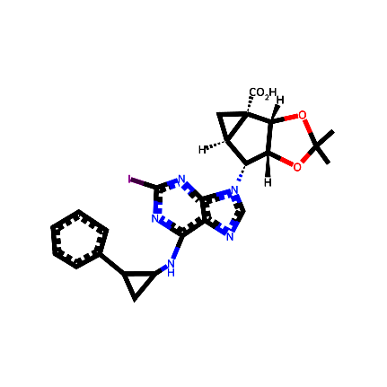 CC1(C)O[C@@H]2[C@H](n3cnc4c(NC5CC5c5ccccc5)nc(I)nc43)[C@H]3C[C@@]3(C(=O)O)[C@@H]2O1